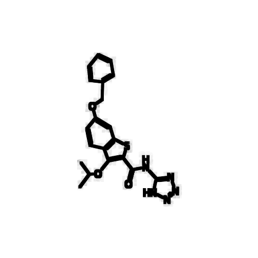 CC(C)Oc1c(C(=O)Nc2nnn[nH]2)sc2cc(OCc3ccccc3)ccc12